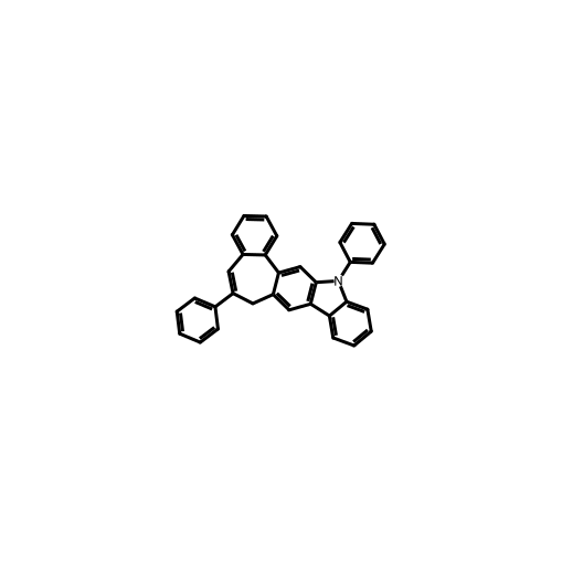 C1=C(c2ccccc2)Cc2cc3c4ccccc4n(-c4ccccc4)c3cc2-c2ccccc21